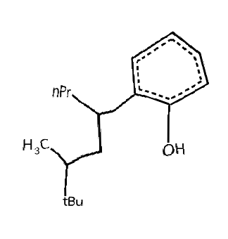 CCCC(CC(C)C(C)(C)C)c1ccccc1O